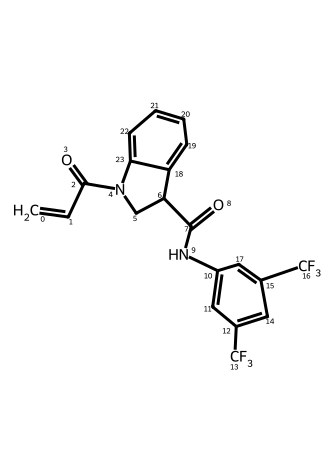 C=CC(=O)N1CC(C(=O)Nc2cc(C(F)(F)F)cc(C(F)(F)F)c2)c2ccccc21